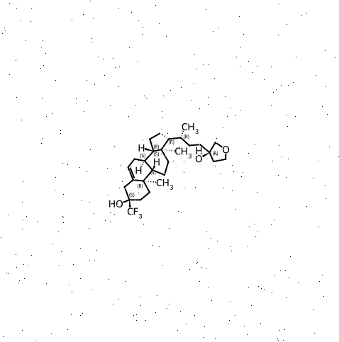 C[C@H](CC[C@@]1(O)CCOC1)[C@H]1CC[C@H]2[C@@H]3CC=C4C[C@](O)(C(F)(F)F)CC[C@]4(C)[C@H]3CC[C@]12C